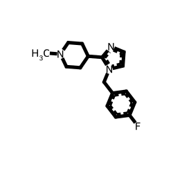 CN1CCC(c2nccn2Cc2ccc(F)cc2)CC1